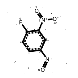 O=Nc1ccc(F)c([N+](=O)[O-])c1